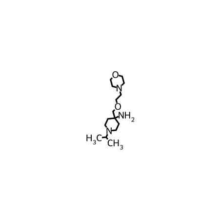 CC(C)N1CCC(N)(COCCN2CCOCC2)CC1